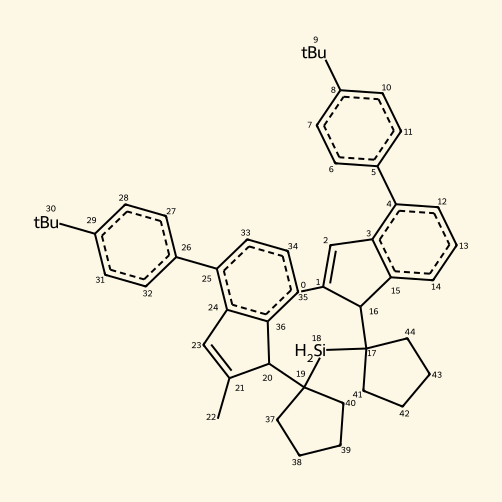 CC1=Cc2c(-c3ccc(C(C)(C)C)cc3)cccc2C1C1([SiH2]C2(C3C(C)=Cc4c(-c5ccc(C(C)(C)C)cc5)cccc43)CCCC2)CCCC1